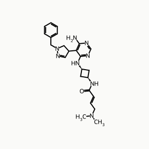 CN(C)C/C=C/C(=O)N[C@H]1C[C@@H](Nc2ncnc(N)c2C2C=NN(Cc3ccccc3)C2)C1